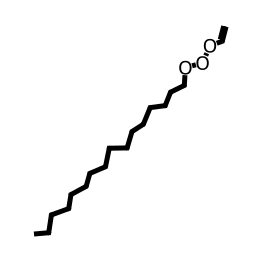 C=COOOCCCCCCCCCCCCCCCC